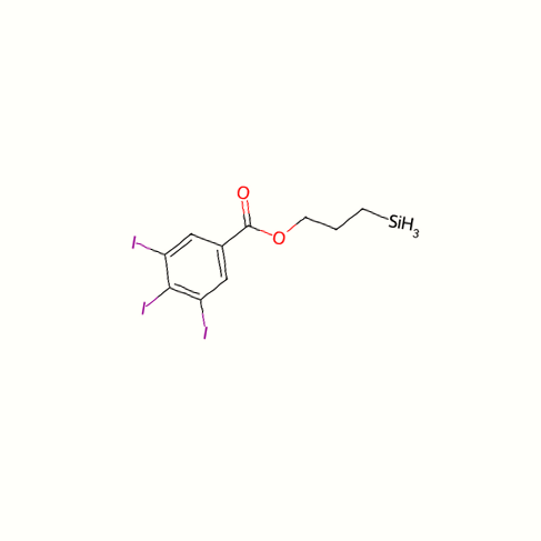 O=C(OCCC[SiH3])c1cc(I)c(I)c(I)c1